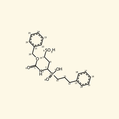 O=C(NC(CCS(=O)(=O)O)P(=O)(O)CCCc1ccccc1)OCc1ccccc1